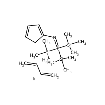 C=CC=C.C[Si](C)(C)P(=NC1=CC=CC1)([Si](C)(C)C)[Si](C)(C)C.[Ti]